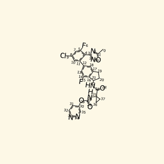 Cc1nc(-c2c(F)cc(Cl)cc2-c2cc(F)c3c(c2)CCC3NC(=O)C2(NC(=O)Oc3ccnnc3)CC2)no1